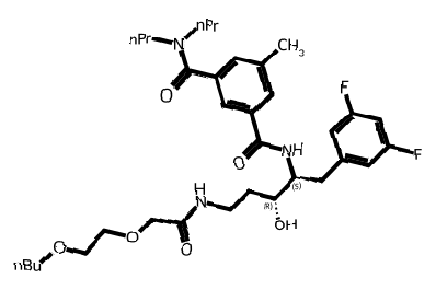 CCCCOCCOCC(=O)NCC[C@@H](O)[C@H](Cc1cc(F)cc(F)c1)NC(=O)c1cc(C)cc(C(=O)N(CCC)CCC)c1